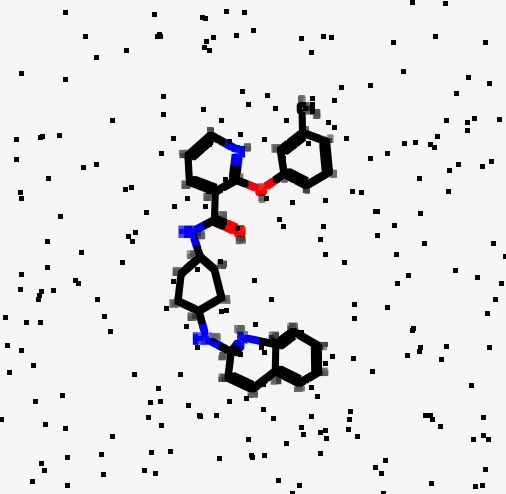 Cc1cccc(Oc2ncccc2C(=O)NC2CCC(Nc3ccc4ccccc4n3)CC2)c1